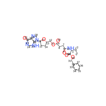 CC(C)[C@H](NC(=O)CCC(=O)OCC1CC[C@H](n2cnc3c(=O)nc[nH]c32)O1)C(=O)OCc1ccccc1